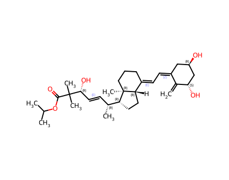 C=C1/C(=C\C=C2/CCC[C@]3(C)[C@@H]([C@H](C)/C=C/[C@@H](O)C(C)(C)C(=O)OC(C)C)CC[C@@H]23)C[C@@H](O)C[C@@H]1O